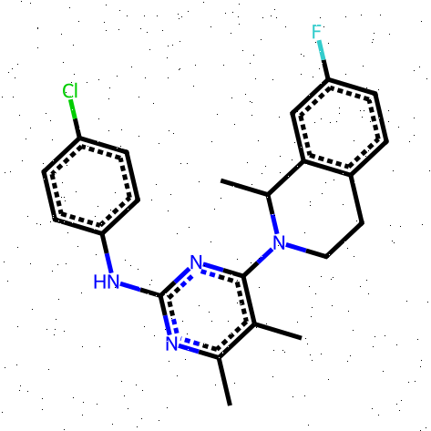 Cc1nc(Nc2ccc(Cl)cc2)nc(N2CCc3ccc(F)cc3C2C)c1C